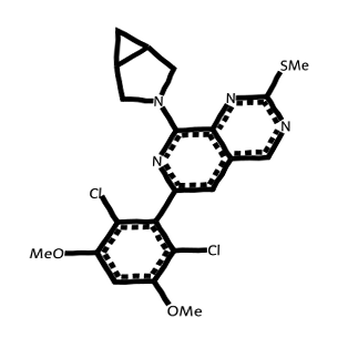 COc1cc(OC)c(Cl)c(-c2cc3cnc(SC)nc3c(N3CC4CC4C3)n2)c1Cl